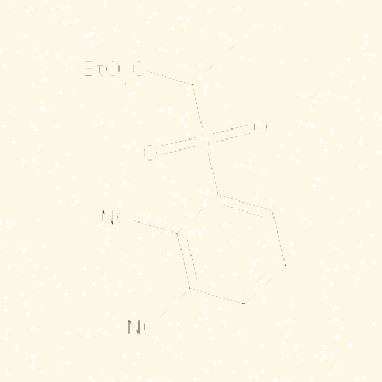 CCOC(=O)C(C)S(=O)(=O)c1cccc(C#N)c1C#N